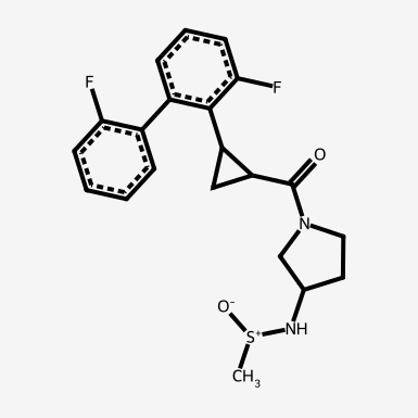 C[S+]([O-])NC1CCN(C(=O)C2CC2c2c(F)cccc2-c2ccccc2F)C1